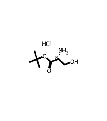 CC(C)(C)OC(=O)[C@H](N)CO.Cl